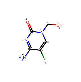 Nc1nc(=O)n(CO)cc1F